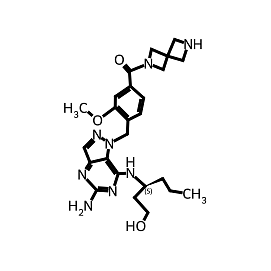 CCC[C@@H](CCO)Nc1nc(N)nc2cnn(Cc3ccc(C(=O)N4CC5(CNC5)C4)cc3OC)c12